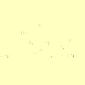 CC(C)CC(NC(=O)c1ccc(N)cc1)C(=O)N1CCC2C1C(=O)CN2C(=O)C1CCCN1